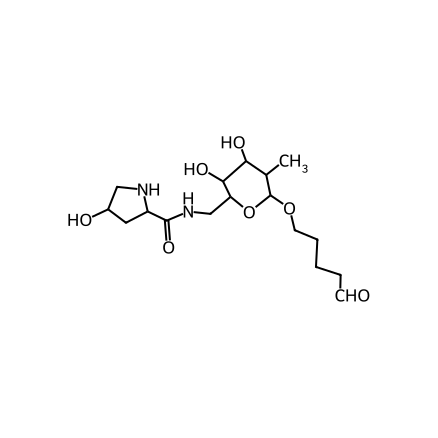 CC1C(OCCCCC=O)OC(CNC(=O)C2CC(O)CN2)C(O)C1O